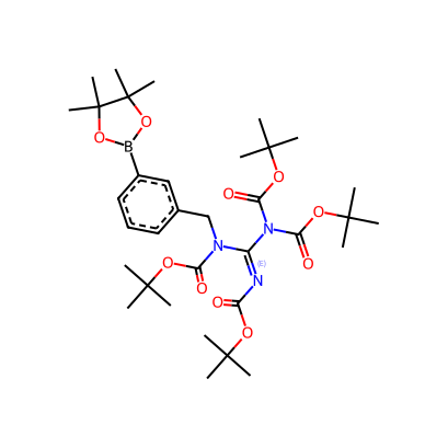 CC(C)(C)OC(=O)/N=C(\N(Cc1cccc(B2OC(C)(C)C(C)(C)O2)c1)C(=O)OC(C)(C)C)N(C(=O)OC(C)(C)C)C(=O)OC(C)(C)C